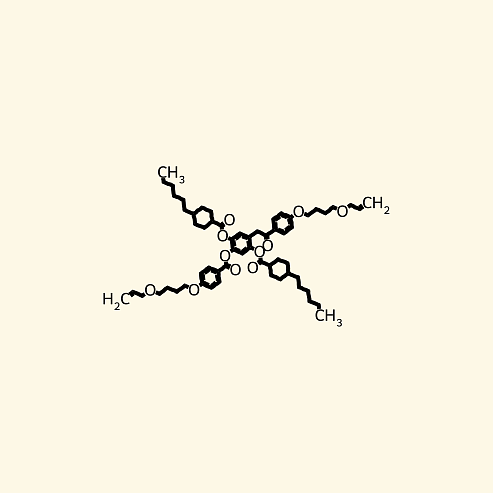 C=CCOCCCCOc1ccc(C(=O)Cc2cc(OC(=O)C3CCC(CCCCCC)CC3)c(OC(=O)c3ccc(OCCCCOCC=C)cc3)cc2OC(=O)C2CCC(CCCCCC)CC2)cc1